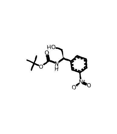 CC(C)(C)OC(=O)N[C@@H](CO)c1cccc([N+](=O)[O-])c1